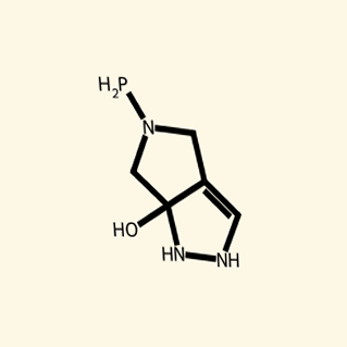 OC12CN(P)CC1=CNN2